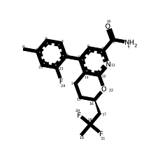 Cc1ccc(-c2cc(C(N)=O)nc3c2CC[C@H](CC(C)(F)F)O3)c(F)c1